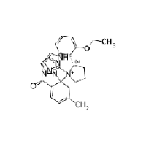 CCOc1ccccc1[C@@H]1CCC[N+]1(c1ncc[nH]1)C1(n2nccn2)CC(C)=CC=C1C=O